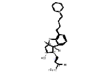 CCCCC[C@H](O)/C=C/[C@@H]1[C@H]2c3cccc(CCCCN4CCCCC4)c3O[C@H]2C[C@H]1O